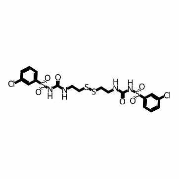 O=C(NCCSSCCNC(=O)NS(=O)(=O)c1cccc(Cl)c1)NS(=O)(=O)c1cccc(Cl)c1